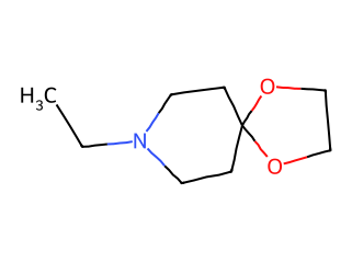 CCN1CCC2(CC1)OCCO2